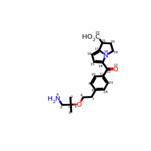 CC(C)(CN)OCCc1ccc(C(=O)c2ccc3n2CCC3C(=O)O)cc1